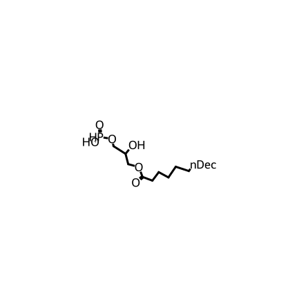 CCCCCCCCCCCCCCCC(=O)OCC(O)CO[PH](=O)O